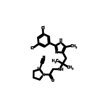 Cc1[nH]c(-c2cc(Cl)cc(Cl)c2)nc1CC(C)(C)NCC(=O)N1CCC[C@H]1C#N